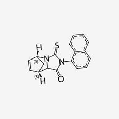 O=C1C2[C@@H]3C=C[C@@H](C3)N2C(=S)N1c1cccc2ccccc12